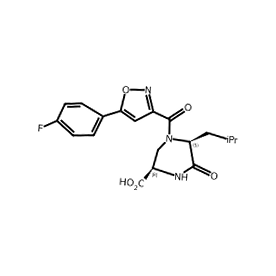 CC(C)C[C@H]1C(=O)N[C@@H](C(=O)O)CN1C(=O)c1cc(-c2ccc(F)cc2)on1